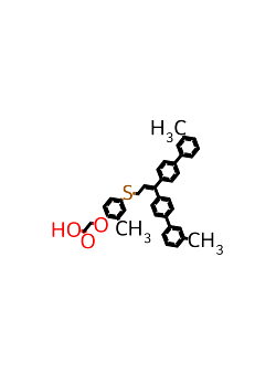 Cc1cccc(-c2ccc(C(=CCSc3ccc(OCC(=O)O)c(C)c3)c3ccc(-c4cccc(C)c4)cc3)cc2)c1